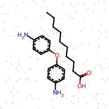 CCCCCCCCCC(=O)O.Nc1ccc(Oc2ccc(N)cc2)cc1